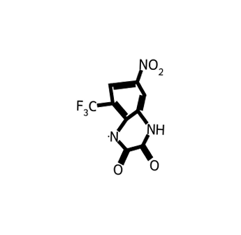 O=C1[N]c2c(cc([N+](=O)[O-])cc2C(F)(F)F)NC1=O